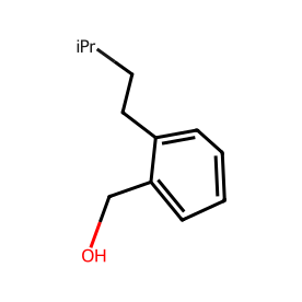 CC(C)CCc1ccccc1CO